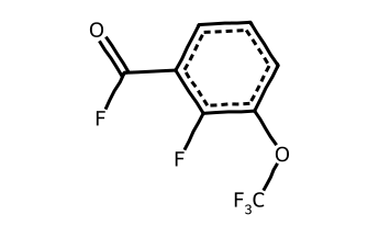 O=C(F)c1cccc(OC(F)(F)F)c1F